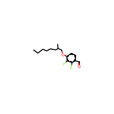 CCCCCCC(C)COc1ccc(C=O)c(F)c1F